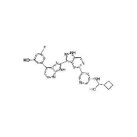 Oc1cc(F)cc(-c2ccnc3[nH]c(-c4n[nH]c5cnc(-c6cncc(NC(O)C7CCC7)c6)cc45)nc23)c1